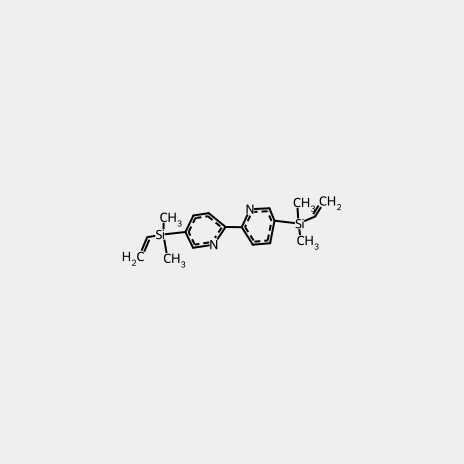 C=C[Si](C)(C)c1ccc(-c2ccc([Si](C)(C)C=C)cn2)nc1